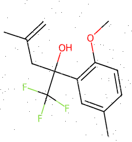 C=C(C)CC(O)(c1cc(C)ccc1OC)C(F)(F)F